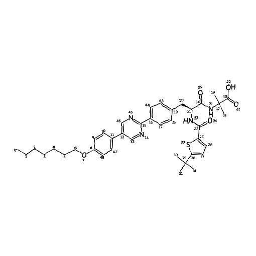 CCCCCCCOc1ccc(-c2cnc(-c3ccc(C[C@H](NC(=O)c4ccc(C(C)(C)C)s4)C(=O)NC(C)(C)C(=O)O)cc3)nc2)cc1